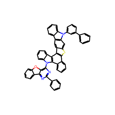 c1ccc(-c2cccc(-n3c4ccccc4c4cc5c(cc43)sc3c4ccccc4c4c(c6ccccc6n4-c4nc(-c6ccccc6)nc6c4oc4ccccc46)c53)c2)cc1